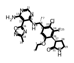 CCOc1cc([C@@H](C)Nc2ncnc(N)c2-c2nc(C)no2)c(Cl)c(F)c1[C@H]1CCNC1=O